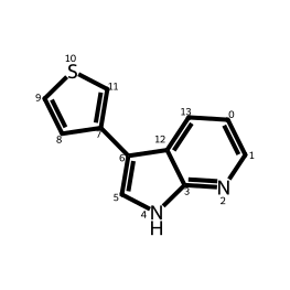 c1cnc2[nH]cc(-c3ccsc3)c2c1